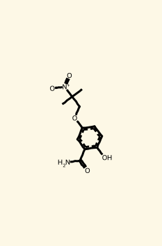 CC(C)(COc1ccc(O)c(C(N)=O)c1)[N+](=O)[O-]